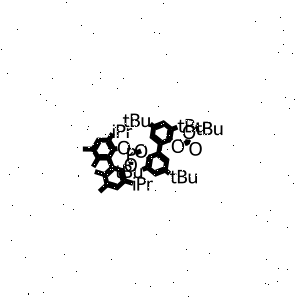 Cc1cc(C(C)C)c2op(Oc3c(-c4cc(C(C)(C)C)cc(C(C)(C)C)c4OC(=O)OC(C)(C)C)cc(C(C)(C)C)cc3C(C)(C)C)oc3c(C(C)C)cc(C)c(C)c3c2c1C